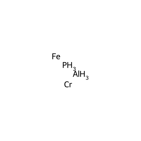 P.[AlH3].[Cr].[Fe]